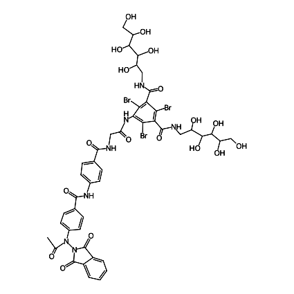 CC(=O)N(c1ccc(C(=O)Nc2ccc(C(=O)NCC(=O)Nc3c(Br)c(C(=O)NCC(O)C(O)C(O)C(O)CO)c(Br)c(C(=O)NCC(O)C(O)C(O)C(O)CO)c3Br)cc2)cc1)N1C(=O)c2ccccc2C1=O